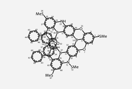 CSc1cc2c3c(c1)Oc1cc4c(cc1B3c1cc3c(cc1O2)Nc1cc(SC)cc2c1B3c1oc3ccccc3c1N2c1ccccc1)B1c2oc3ccccc3c2N(c2ccccc2)c2cc(SC)cc(c21)N4SC